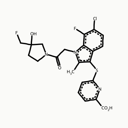 Cc1c(Sc2cccc(C(=O)O)n2)c2ccc(Cl)c(F)c2n1CC(=O)N1CCC(O)(CF)C1